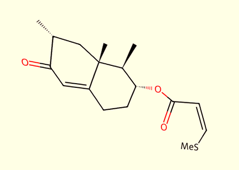 CS/C=C\C(=O)O[C@@H]1CCC2=CC(=O)[C@H](C)C[C@]2(C)[C@H]1C